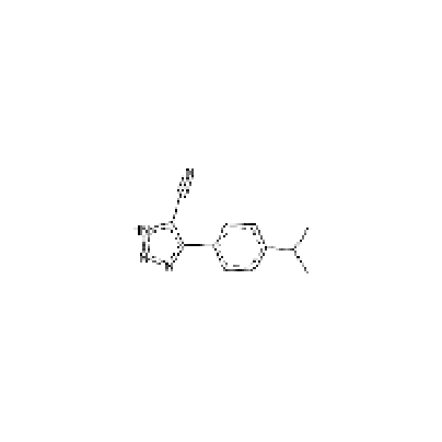 CC(C)c1ccc(-c2nn[nH]c2C#N)cc1